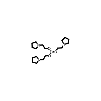 C1CCN(CCOB(OCCN2CCCC2)OCCN2CCCC2)C1